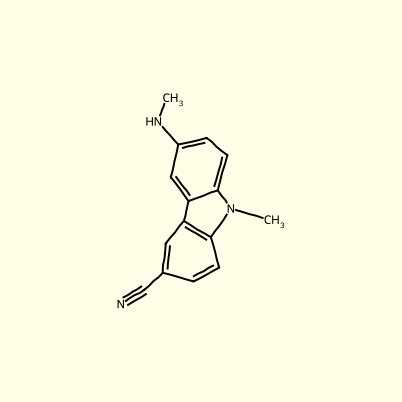 CNc1ccc2c(c1)c1cc(C#N)ccc1n2C